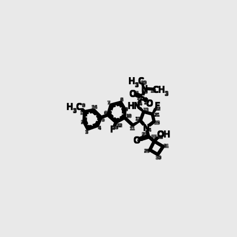 Cc1cccc(-c2cccc(C[C@H]3[C@@H](NS(=O)(=O)N(C)C)[C@@H](F)CN3C(=O)C3(O)CCC3)c2F)c1